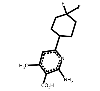 Cc1cc(C2CCC(F)(F)CC2)nc(N)c1C(=O)O